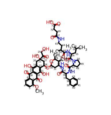 COc1cccc2c1C(=O)c1c(O)c3c(c(O)c1C2=O)CC(O)(C(=O)CO)CC3OC1CC(NC(=O)C(Cc2ccccc2)NC(=O)C2CCCN2C(=O)C(CC(C)C)NC(=O)C(C)CCNC(=O)CCC(=O)O)C(C)C(C)O1